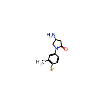 Cc1cc(N2C[C@@H](N)CC2=O)ccc1Br